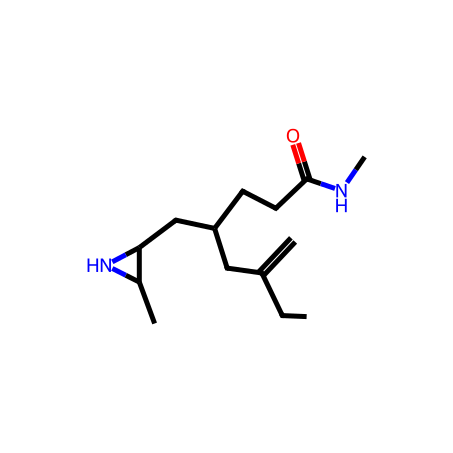 C=C(CC)CC(CCC(=O)NC)CC1NC1C